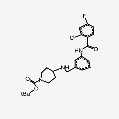 CC(C)(C)OC(=O)N1CCC(NCc2cccc(NC(=O)c3ccc(F)cc3Cl)c2)CC1